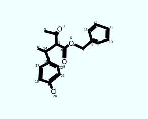 CC(=O)C(C(=O)OCc1ccccc1)C(C)c1ccc(Cl)cc1